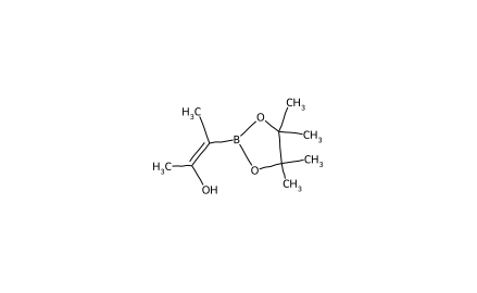 C/C(O)=C(\C)B1OC(C)(C)C(C)(C)O1